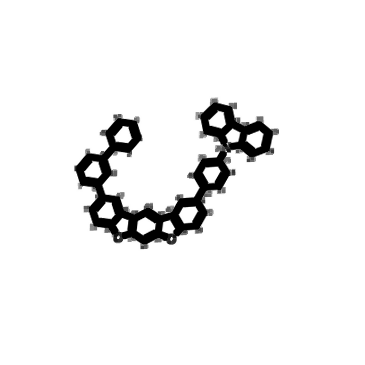 c1ccc(-c2cccc(-c3ccc4oc5cc6oc7ccc(-c8ccc(-n9c%10ccccc%10c%10ccccc%109)cc8)cc7c6cc5c4c3)c2)cc1